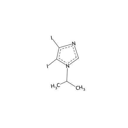 CC(C)n1cnc(I)c1I